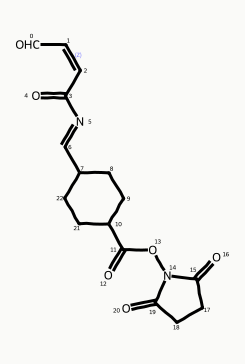 O=C/C=C\C(=O)N=CC1CCC(C(=O)ON2C(=O)CCC2=O)CC1